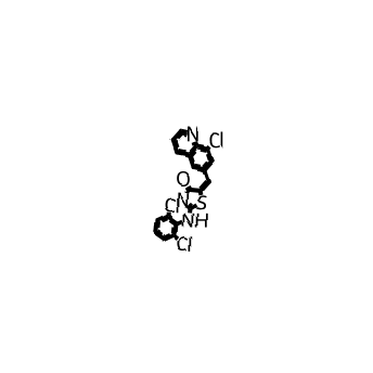 O=C1N=C(Nc2c(Cl)cccc2Cl)SC1=Cc1cc(Cl)c2ncccc2c1